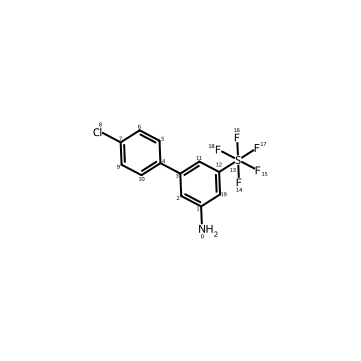 Nc1cc(-c2ccc(Cl)cc2)cc(S(F)(F)(F)(F)F)c1